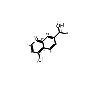 CC(O)c1ccc2c(Cl)ccnc2c1